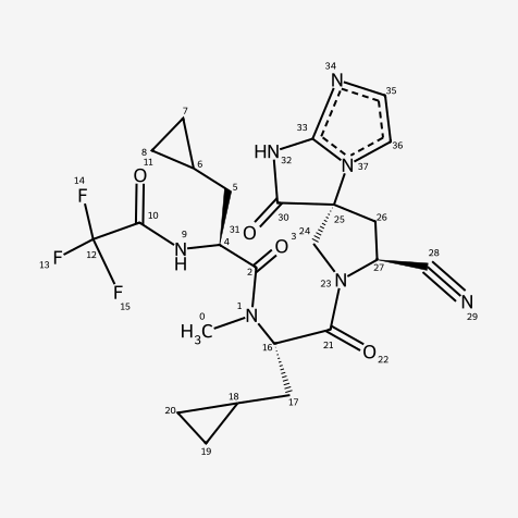 CN(C(=O)[C@H](CC1CC1)NC(=O)C(F)(F)F)[C@@H](CC1CC1)C(=O)N1C[C@]2(C[C@H]1C#N)C(=O)Nc1nccn12